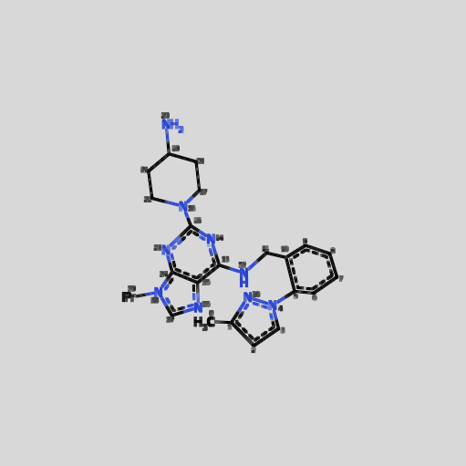 Cc1ccn(-c2ccccc2CNc2nc(N3CCC(N)CC3)nc3c2ncn3C(C)C)n1